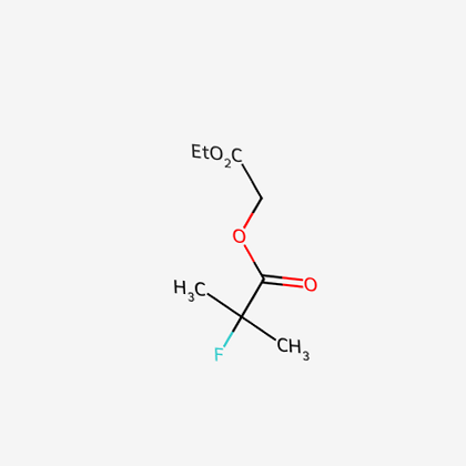 CCOC(=O)COC(=O)C(C)(C)F